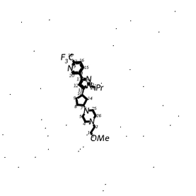 COCCN1CCN([C@H]2CC[C@@H](c3cc(-c4ccc(C(F)(F)F)nc4)nn3C(C)C)C2)CC1